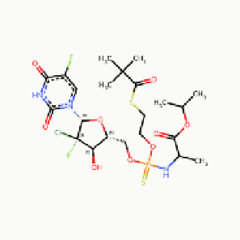 CC(C)OC(=O)C(C)NP(=S)(OCCSC(=O)C(C)(C)C)OC[C@H]1O[C@@H](n2cc(F)c(=O)[nH]c2=O)[C@](F)(Cl)[C@@H]1O